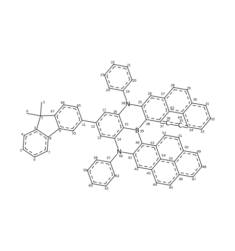 CC1(C)c2ccccc2-c2cc(-c3cc4c5c(c3)N(c3ccccc3)c3cc6ccc7cccc8ccc(c3B5c3c(cc5ccc9cccc%10ccc3c5c9%10)N4c3ccccc3)c6c78)ccc21